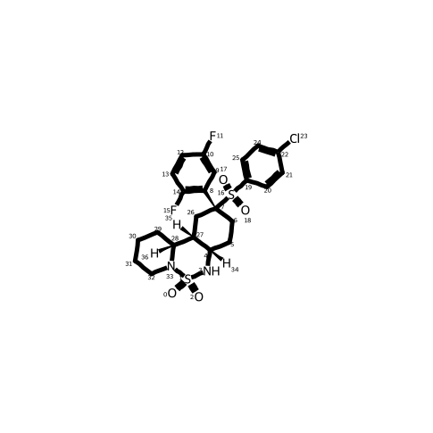 O=S1(=O)N[C@H]2CC[C@@](c3cc(F)ccc3F)(S(=O)(=O)c3ccc(Cl)cc3)C[C@H]2[C@H]2CCCCN21